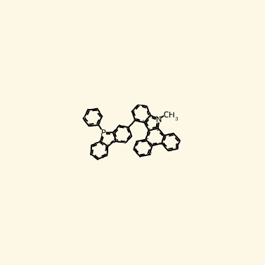 Cn1c2cccc(-c3ccc4c5ccccc5p(-c5ccccc5)c4c3)c2c2c3ccccc3c3ccccc3c21